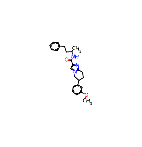 COc1cccc(C2CCc3nc(C(=O)NC(C)CCc4ccccc4)cn3C2)c1